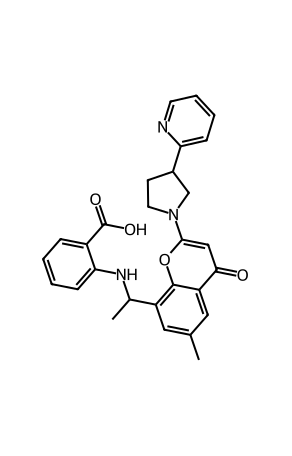 Cc1cc(C(C)Nc2ccccc2C(=O)O)c2oc(N3CCC(c4ccccn4)C3)cc(=O)c2c1